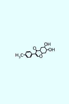 Cc1ccc(C2=COC3CC(O)C(O)CC3C2=O)cc1